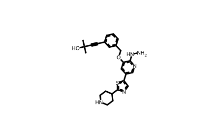 CC(C)(O)C#Cc1cccc(COc2cc(-c3cnc(C4CCNCC4)s3)cnc2NN)c1